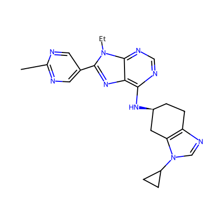 CCn1c(-c2cnc(C)nc2)nc2c(N[C@H]3CCc4ncn(C5CC5)c4C3)ncnc21